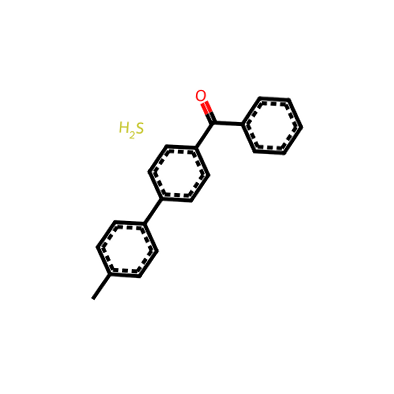 Cc1ccc(-c2ccc(C(=O)c3ccccc3)cc2)cc1.S